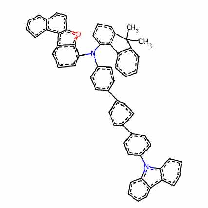 CC1(C)c2ccccc2-c2c(N(c3ccc(-c4ccc(-c5ccc(-n6c7ccccc7c7ccccc76)cc5)cc4)cc3)c3cccc4c3oc3ccc5ccccc5c34)cccc21